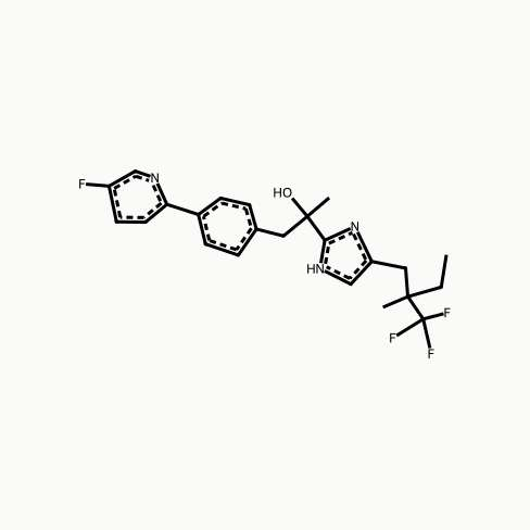 CCC(C)(Cc1c[nH]c(C(C)(O)Cc2ccc(-c3ccc(F)cn3)cc2)n1)C(F)(F)F